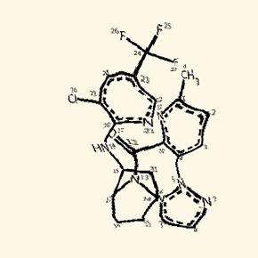 Cc1ccc(-n2nccn2)c(C(=O)N2C3CCC2C(Nc2ncc(C(F)(F)F)cc2Cl)C3)n1